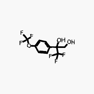 OCC(O)(c1ccc(OC(F)(F)F)cc1)C(F)(F)F